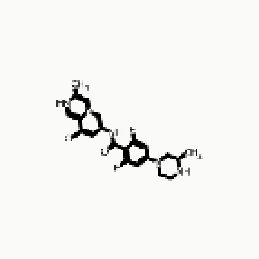 CC1=CN2C=C(NC(=O)c3c(F)cc(N4CCNC(C)C4)cc3F)C=C(Cl)C2=CN1